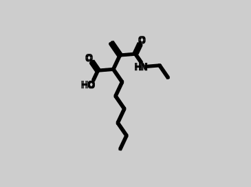 C=C(C(=O)NCC)C(CCCCCC)C(=O)O